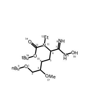 CCCCOCC(CCC(C(=N)NO)N(CC)C(=O)OC(C)(C)C)OC